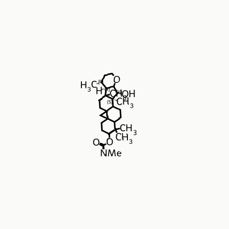 CNC(=O)OC1CCC23CC24CCC2(C)[C@@H]5C(OCC[C@H]5C)[C@H](O)[C@@]2(C)C4CCC3C1(C)C